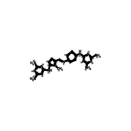 Cn1c(/C=N/c2ccc(Nc3nc(N)nc(N)n3)cc2)ccc1Nc1nc(N)nc(N)n1